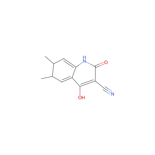 CC1C=c2[nH]c(=O)c(C#N)c(O)c2=CC1C